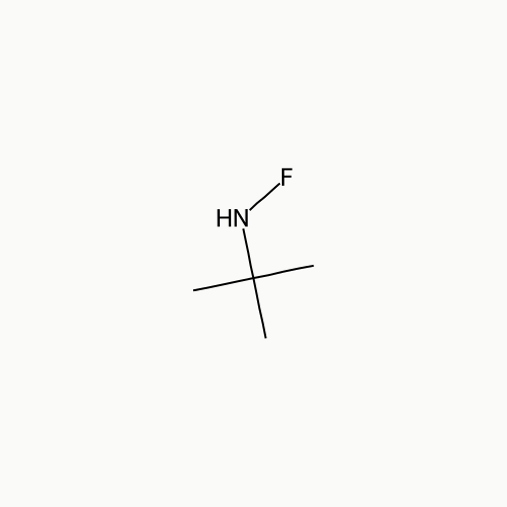 CC(C)(C)NF